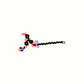 CCC=CCC=CCC=CCC=CCC=CCC=CCCC(=O)NC(C)C(=O)Oc1ccc2c(C(=O)c3ccc(OCCN4CCOCC4)cc3)c(-c3ccc(O)cc3)sc2c1